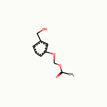 CC(=O)OCOc1cccc(CO)c1